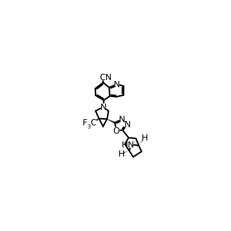 N#Cc1ccc(N2C[C@]3(c4nnc(C5C[C@H]6CC[C@@H](C5)N6)o4)C[C@]3(C(F)(F)F)C2)c2cccnc12